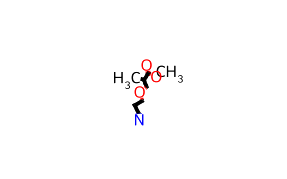 COC(=O)C(C)COCCC#N